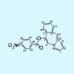 O=C(OC1=CC2C=CC=CC2=Cc2ccccc21)c1ccc([N+](=O)[O-])cc1